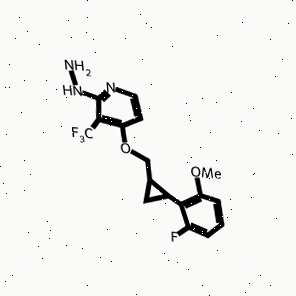 COc1cccc(F)c1C1CC1COc1ccnc(NN)c1C(F)(F)F